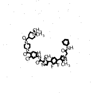 Cc1nn(CC(=O)Nc2ccccc2)cc1-c1ccc(-c2cnc(C(=O)Nc3ccc(C(=O)N4CCN(C(=O)C5CC[N+](C)(C)CC5)CC4)c(Cl)c3)n2C)c(F)c1F